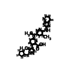 Cc1cc(N(C)c2ccc(-c3cnn(CC4CCCC4)c3C)c(C(=O)O)n2)nnc1Nc1nc2cccnc2s1